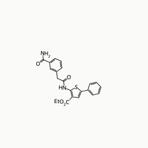 CCOC(=O)c1cc(-c2ccccc2)sc1NC(=O)Cc1cccc(C(N)=O)c1